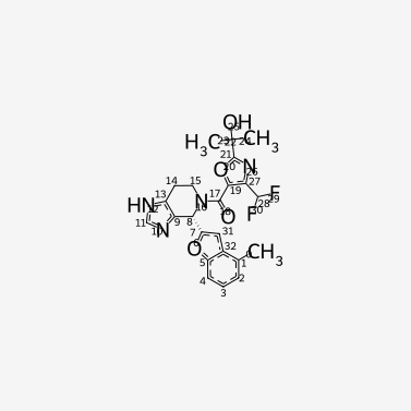 Cc1cccc2oc([C@@H]3c4nc[nH]c4CCN3C(=O)c3oc(C(C)(C)O)nc3C(F)F)cc12